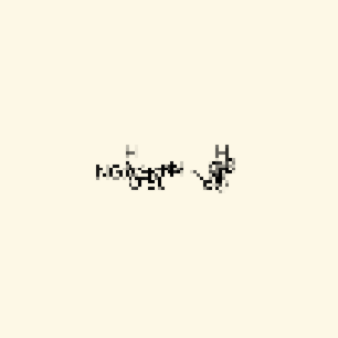 CCc1cc2c(cc1N1CCC(N3CCN(CCCCCC#Cc4cccc5c4CN(C4CCC(=O)NC4=O)C5=O)CC3)CC1)C(C)(C)c1[nH]c3cc(C#N)ccc3c1C2=O